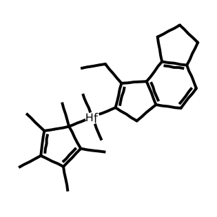 CCC1=[C]([Hf]([CH3])([CH3])[C]2(C)C(C)=C(C)C(C)=C2C)Cc2ccc3c(c21)CCC3